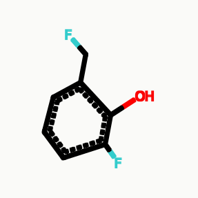 Oc1c(F)cccc1CF